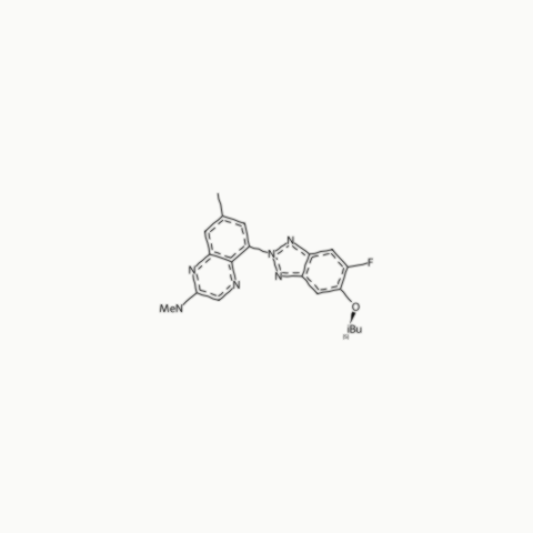 C[CH][C@H](C)Oc1cc2nn(-c3cc(C)cc4nc(NC)cnc34)nc2cc1F